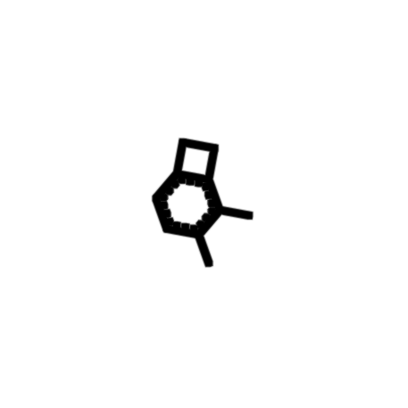 Cc1ccc2c(c1C)CC2